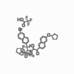 NC1CC2CCC(C1)N2C(=O)C(NC(=O)C(=O)c1ccc2cc(OC3CCCC3)ccc2c1)C(F)(F)c1ccc2cc(Br)ccc2c1.O=C(O)C(F)(F)F